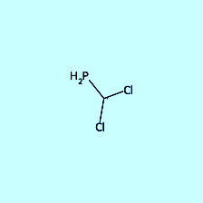 P[C](Cl)Cl